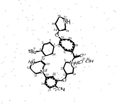 CC(C)(C)[C@H]1CC[C@H](c2cc(C(=O)N3CCC(Oc4cc(N5CCNCC5)ccc4C#N)CC3)ccc2O[C@H]2CCNC2)CC1.Cl.Cl